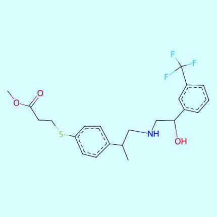 COC(=O)CCSc1ccc(C(C)CNCC(O)c2cccc(C(F)(F)F)c2)cc1